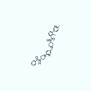 Cc1ccc(-c2cccc(C(=O)NC3CCN(Cc4ccc(N5CCC(NC(=O)c6ccccc6)CC5)nc4)CC3)c2C)cn1